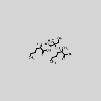 CC(C)(CO)CO.CCCCC(C)C(=O)O.CCCCC(C)C(=O)O